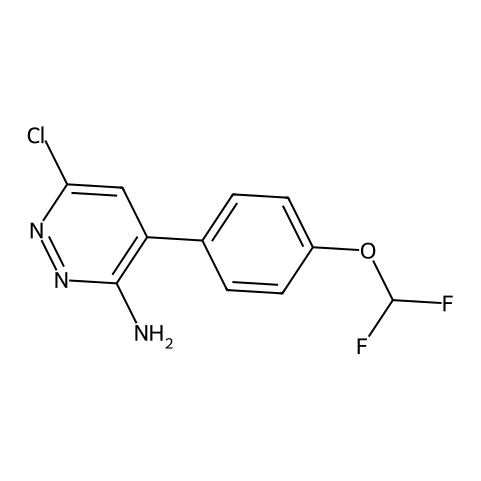 Nc1nnc(Cl)cc1-c1ccc(OC(F)F)cc1